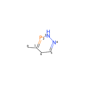 CC1=PNN=CC1